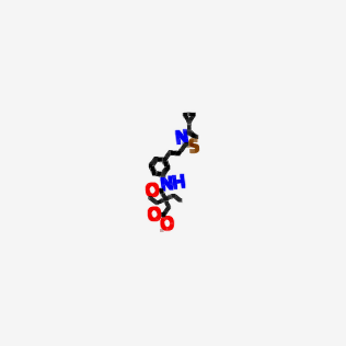 CCC(CC)(CC(=O)OC)C(=O)Nc1cccc(C=Cc2nc(C3CC3)cs2)c1